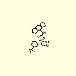 CC(C)(O)c1cccc(C2CC(=O)NS2(=O)=NC(=O)Nc2c3c(cc4c2CCC4)CCC3)c1